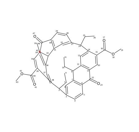 CCC1c2ccc3c(c2)C(CC)c2cc(c(C(=O)OC)cc2C3=O)C(CC)c2ccc3c(c2)C(CC)c2cc1c(C(=O)OC)cc2C3=O